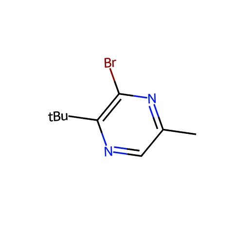 Cc1cnc(C(C)(C)C)c(Br)n1